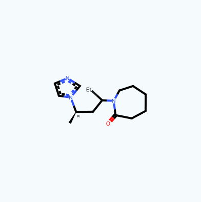 CCC(C[C@@H](C)n1ccnc1)N1CCCCCC1=O